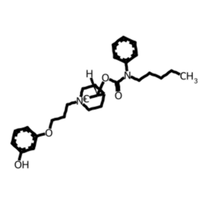 CCCCCN(C(=O)O[C@H]1C[N+]2(CCCOc3cccc(O)c3)CCC1CC2)c1ccccc1